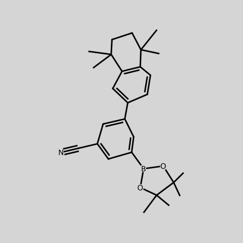 CC1(C)CCC(C)(C)c2cc(-c3cc(C#N)cc(B4OC(C)(C)C(C)(C)O4)c3)ccc21